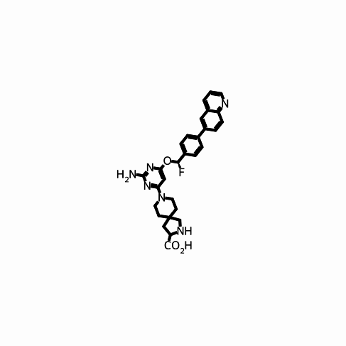 Nc1nc(O[C@H](F)c2ccc(-c3ccc4ncccc4c3)cc2)cc(N2CCC3(CC2)CNC(C(=O)O)C3)n1